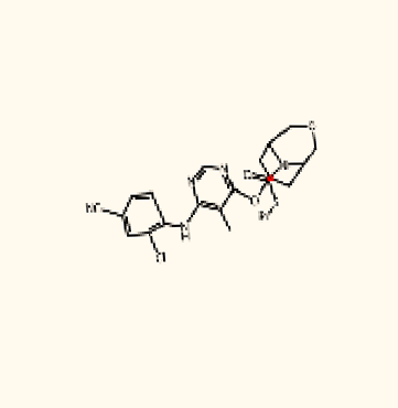 Cc1c(Nc2ccc(C#N)cc2Cl)ncnc1OC1CC2COCC(C1)N2C(=O)SC(C)C